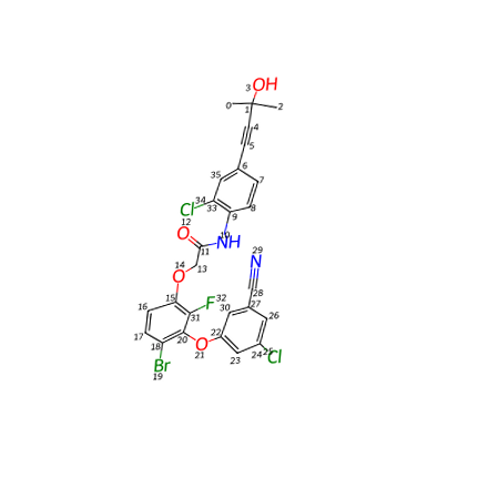 CC(C)(O)C#Cc1ccc(NC(=O)COc2ccc(Br)c(Oc3cc(Cl)cc(C#N)c3)c2F)c(Cl)c1